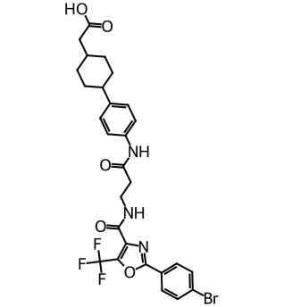 O=C(O)CC1CCC(c2ccc(NC(=O)CCNC(=O)c3nc(-c4ccc(Br)cc4)oc3C(F)(F)F)cc2)CC1